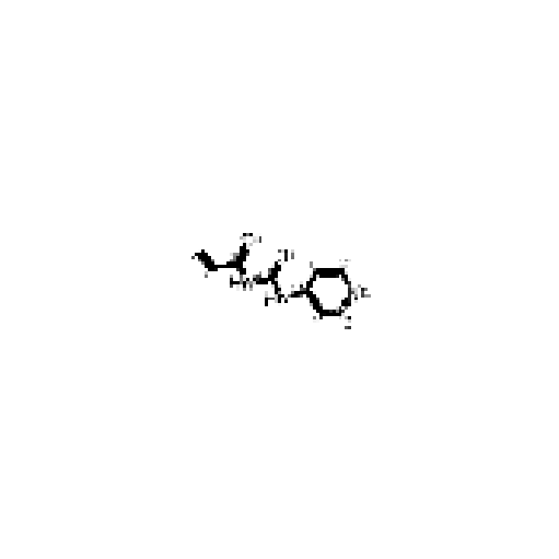 C=CC(=O)NC(=O)Nc1ccnnc1